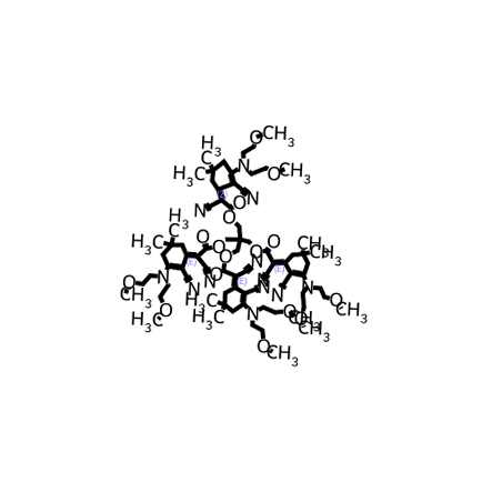 COCCN(CCOC)C1=C(C#N)/C(=C(/C#N)C(=O)OCC(COC(=O)/C(C#N)=C2\CC(C)(C)CC(N(CCOC)CCOC)=C2C#N)(COC(=O)/C(C#N)=C2\CC(C)(C)CC(N(CCOC)CCOC)=C2C#N)COC(=O)/C(C#N)=C2\CC(C)(C)CC(N(CCOC)CCOC)=C2C#N)CC(C)(C)C1